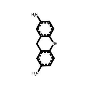 Nc1ccc2c(c1)Cc1cc(N)ccc1N2